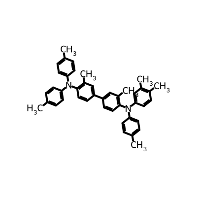 Cc1ccc(N(c2ccc(C)cc2)c2ccc(-c3ccc(N(c4ccc(C)cc4)c4ccc(C)c(C)c4)c(C)c3)cc2C)cc1